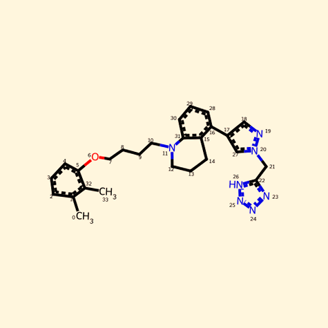 Cc1cccc(OCCCCN2CCCc3c(-c4cnn(Cc5nnn[nH]5)c4)cccc32)c1C